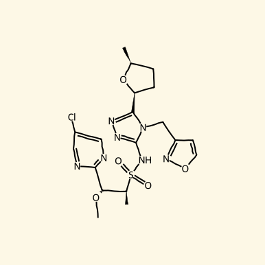 CO[C@H](c1ncc(Cl)cn1)[C@H](C)S(=O)(=O)Nc1nnc([C@@H]2CC[C@H](C)O2)n1Cc1ccon1